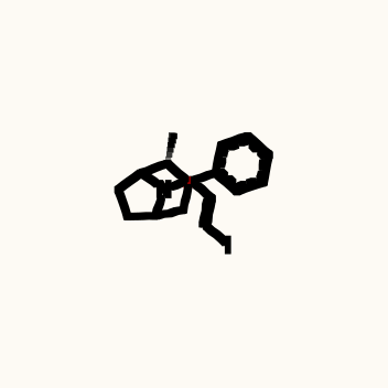 C[C@@H]1C(c2ccccc2)CC2CCC1N2C/C=C/I